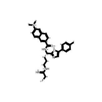 Cc1ccc(-c2cnc([C@H](CCCNC(=N)CF)NC(=O)c3ccc4cc(N(C)C)ccc4c3)o2)cc1